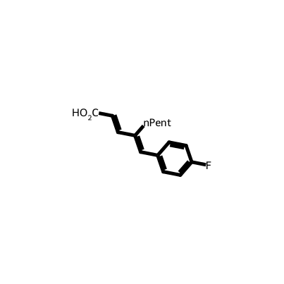 CCCCCC(/C=C/C(=O)O)=C\c1ccc(F)cc1